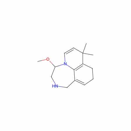 COC1CNCC2=CCCC3=C2N1C=CC3(C)C